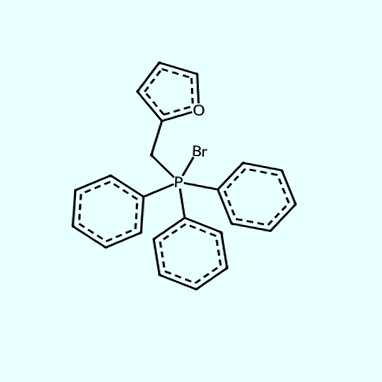 BrP(Cc1ccco1)(c1ccccc1)(c1ccccc1)c1ccccc1